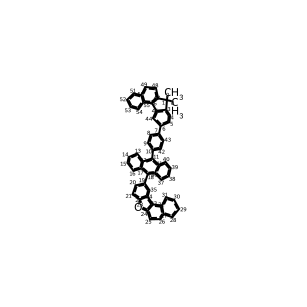 CC1(C)c2ccc(-c3ccc(-c4c5ccccc5c(-c5ccc6oc7ccc8ccccc8c7c6c5)c5ccccc45)cc3)cc2-c2c1ccc1ccccc21